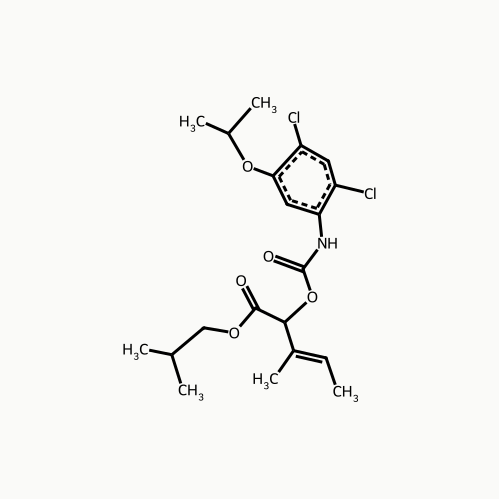 CC=C(C)C(OC(=O)Nc1cc(OC(C)C)c(Cl)cc1Cl)C(=O)OCC(C)C